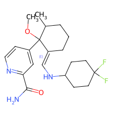 COC1(c2ccnc(C(N)=O)c2)/C(=C/NC2CCC(F)(F)CC2)CCCC1C